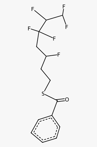 O=C(SCCC(F)CC(F)(F)C(F)C(F)F)c1ccccc1